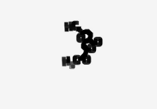 C#C[C@H]1CCc2c(cc(C3OC3C)oc2=O)O1